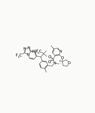 Cc1cnc2c(c1)S(=O)(=O)N(Cc1cc(C(c3ccn4c(C(F)(F)F)nnc4c3C)C(C)(C)C(=O)O)ccc1C)C[C@]1(CCOC1)O2